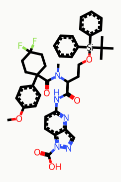 COc1ccc(C2(C(=O)N(C)C(CCO[Si](c3ccccc3)(c3ccccc3)C(C)(C)C)C(=O)Nc3ccc4c(cnn4C(=O)O)n3)CCC(F)(F)CC2)cc1